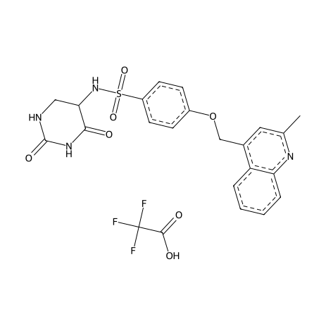 Cc1cc(COc2ccc(S(=O)(=O)NC3CNC(=O)NC3=O)cc2)c2ccccc2n1.O=C(O)C(F)(F)F